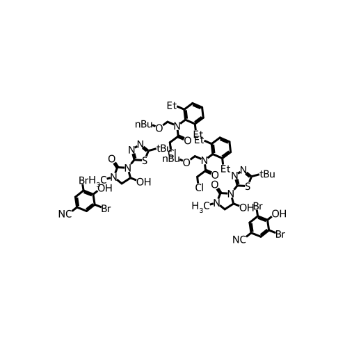 CCCCOCN(C(=O)CCl)c1c(CC)cccc1CC.CCCCOCN(C(=O)CCl)c1c(CC)cccc1CC.CN1CC(O)N(c2nnc(C(C)(C)C)s2)C1=O.CN1CC(O)N(c2nnc(C(C)(C)C)s2)C1=O.N#Cc1cc(Br)c(O)c(Br)c1.N#Cc1cc(Br)c(O)c(Br)c1